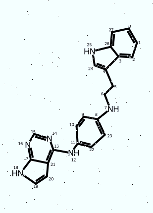 c1ccc2c(CCNc3ccc(Nc4ncnc5[nH]ccc45)cc3)c[nH]c2c1